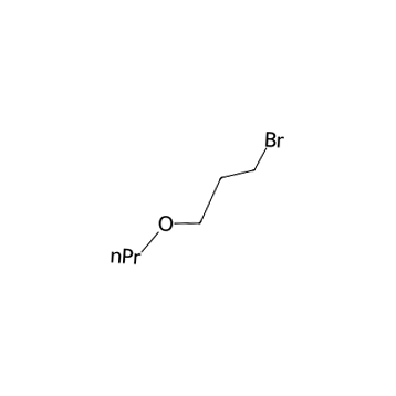 C[CH]COCCCBr